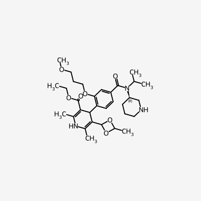 CCOC(=O)C1=C(C)NC(C)=C(C2OC(C)O2)C1c1ccc(C(=O)N(C(C)C)[C@@H]2CCCNC2)cc1OCCCOC